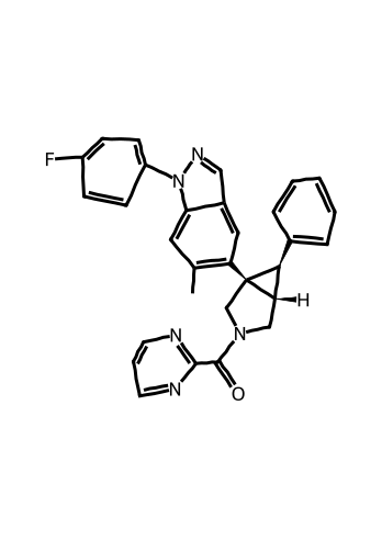 Cc1cc2c(cnn2-c2ccc(F)cc2)cc1[C@]12CN(C(=O)c3ncccn3)C[C@H]1[C@@H]2c1ccccc1